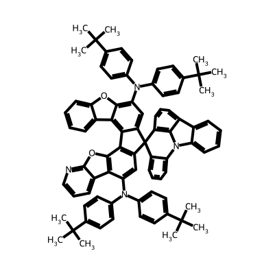 CC(C)(C)c1ccc(N(c2ccc(C(C)(C)C)cc2)c2cc3c(c4c2oc2ccccc24)-c2c(cc(N(c4ccc(C(C)(C)C)cc4)c4ccc(C(C)(C)C)cc4)c4c2oc2ncccc24)C32c3ccccc3-n3c4ccccc4c4cccc2c43)cc1